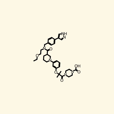 CCOCCN(Cc1ccc(-c2cn[nH]c2)cc1)C(=O)C1CCCN(c2cccc(OC(C)(C)C(=O)N3CCN(C(=O)O)CC3)c2)C1